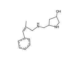 CC(=Cc1ccccc1)CNCC1CC(O)CN1